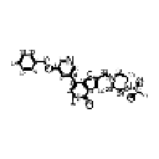 Cn1cc(-c2cncc(OCc3ccccc3)c2)c2sc(CN3CCN(S(C)(=O)=O)CC3)cc2c1=O